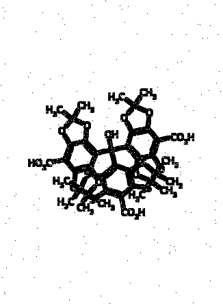 CC1(C)Oc2c(c(C(O)(c3c4c(c(C(=O)O)c5c3OC(C)(C)O5)OC(C)(C)O4)c3c4c(c(C(=O)O)c5c3SC(C)(C)S5)SC(C)(C)S4)c3c(c2C(=O)O)OC(C)(C)O3)O1